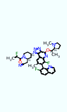 C=C(F)C(=O)N1CC[C@H](n2nnc3c(O[C@@H](C)[C@@H]4CCCN4C)nc4c(F)c(-c5c(F)ccc6cccnc56)c(C)cc4c32)C[C@H]1CC#N